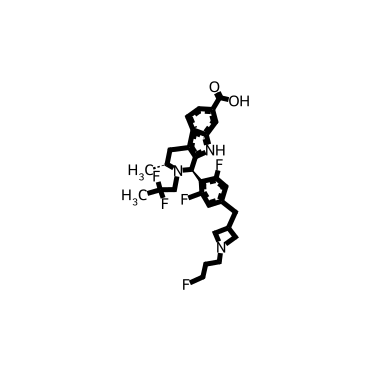 C[C@@H]1Cc2c([nH]c3cc(C(=O)O)ccc23)[C@@H](c2c(F)cc(CC3CN(CCCF)C3)cc2F)N1CC(C)(F)F